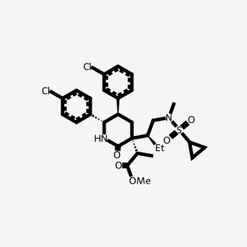 CC[C@H](CN(C)S(=O)(=O)C1CC1)[C@]1(C(C)C(=O)OC)C[C@H](c2cccc(Cl)c2)[C@@H](c2ccc(Cl)cc2)NC1=O